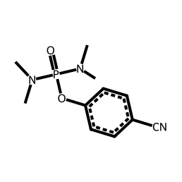 CN(C)P(=O)(Oc1ccc(C#N)cc1)N(C)C